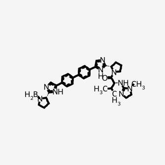 BN1CCC[C@H]1c1ncc(-c2ccc(-c3ccc(-c4cnc([C@@H]5CCCN5C(=O)[C@H](NC5=NCCN5C)C(C)C)[nH]4)cc3)cc2)[nH]1